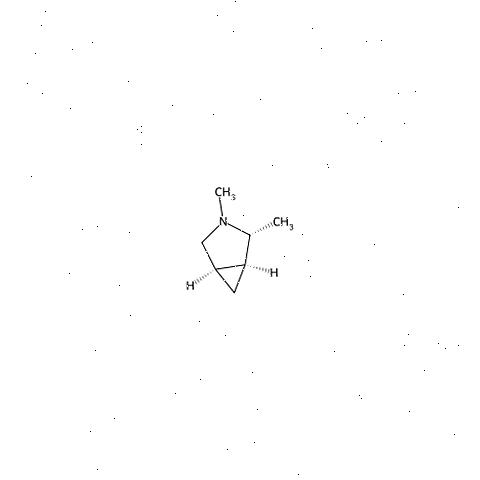 C[C@@H]1[C@H]2C[C@H]2CN1C